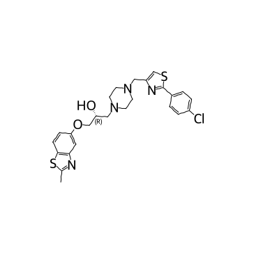 Cc1nc2cc(OC[C@H](O)CN3CCN(Cc4csc(-c5ccc(Cl)cc5)n4)CC3)ccc2s1